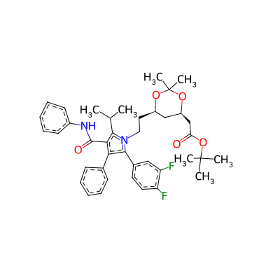 CC(C)c1c(C(=O)Nc2ccccc2)c(-c2ccccc2)c(-c2ccc(F)c(F)c2)n1CC[C@@H]1C[C@H](CC(=O)OC(C)(C)C)OC(C)(C)O1